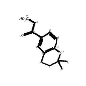 CC1(C)CCc2cc(C(=O)CC(=O)O)ccc2S1